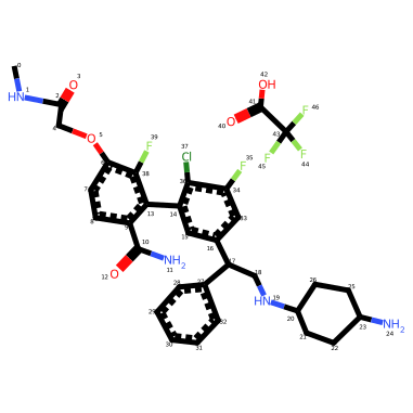 CNC(=O)COc1ccc(C(N)=O)c(-c2cc(C(CNC3CCC(N)CC3)c3ccccc3)cc(F)c2Cl)c1F.O=C(O)C(F)(F)F